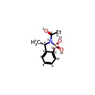 CCC(=O)N1[C@H](C)c2ccccc2S1(=O)=O